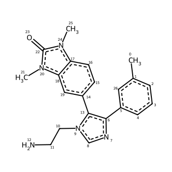 Cc1cccc(-c2ncn(CCN)c2-c2ccc3c(c2)n(C)c(=O)n3C)c1